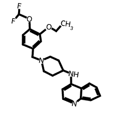 CCOc1cc(CN2CCC(Nc3ccnc4ccccc34)CC2)ccc1OC(F)F